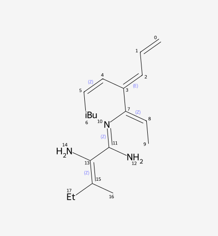 C=C/C=C(\C=C/C(C)CC)C(=C/C)/N=C(N)/C(N)=C(\C)CC